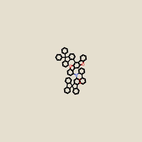 c1ccc(-c2ccccc2N(c2ccc3c(c2)C2(c4ccccc4-c4ccccc42)c2ccccc2-3)c2cccc3oc4c(-c5cccc6c5-c5ccccc5C6(c5ccccc5)c5ccccc5)c5c(cc4c23)oc2ccccc25)cc1